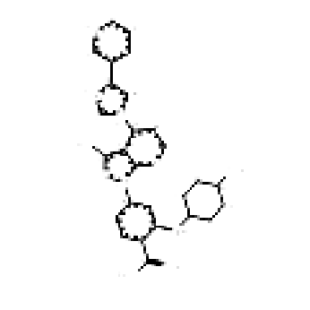 CC(C)c1nn(-c2ccc(C(N)=O)c(NC3CCC(O)CC3)c2)c2nccc(-n3cnc(-c4cccnc4)c3)c12